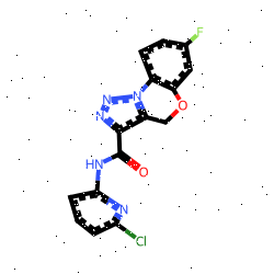 O=C(Nc1cccc(Cl)n1)c1nnn2c1COc1cc(F)ccc1-2